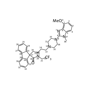 COc1cccc2c1nc(N1CCN(CCCCC3(C(=O)NCC(F)(F)F)c4ccccc4-c4ccccc43)CC1)n2C